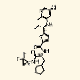 CC[C@H](Nc1cc(Cl)cnc1C)c1ccc(C(=O)N[C@@H](CC2CCCC2)C(=O)N[C@@H]2CC2(F)F)s1